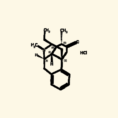 CC[C@@H]1[C@H]2[C@H]3Cc4ccccc4[C@@]2(CCN3C)CC(=O)[C@H]1C.Cl